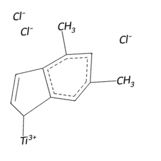 Cc1cc(C)c2c(c1)[CH]([Ti+3])C=C2.[Cl-].[Cl-].[Cl-]